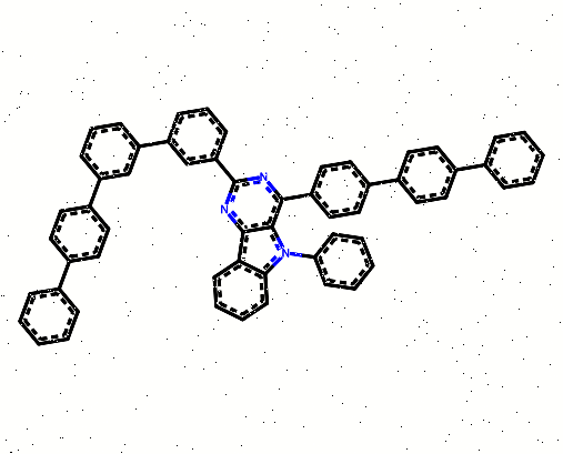 c1ccc(-c2ccc(-c3ccc(-c4nc(-c5cccc(-c6cccc(-c7ccc(-c8ccccc8)cc7)c6)c5)nc5c6ccccc6n(-c6ccccc6)c45)cc3)cc2)cc1